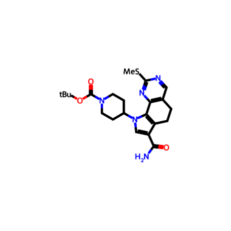 CSc1ncc2c(n1)-c1c(c(C(N)=O)cn1C1CCN(C(=O)OC(C)(C)C)CC1)CC2